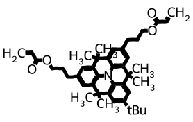 C=CC(=O)OCCCc1cc2c3c(c1)C(C)(C)c1cc(C(C)(C)C)cc4c1N3c1c(cc(CCCOC(=O)C=C)cc1C4(C)C)C2(C)C